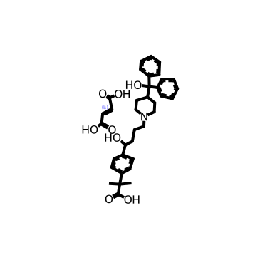 CC(C)(C(=O)O)c1ccc(C(O)CCCN2CCC(C(O)(c3ccccc3)c3ccccc3)CC2)cc1.O=C(O)/C=C/C(=O)O